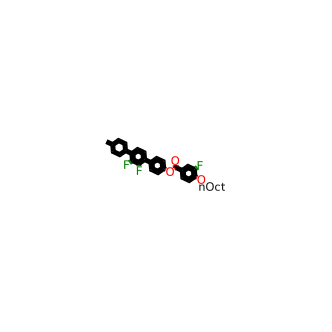 CCCCCCCCOc1ccc(C(=O)Oc2ccc(-c3ccc(C4CCC(C)CC4)c(F)c3F)cc2)cc1F